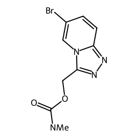 CNC(=O)OCc1nnc2ccc(Br)cn12